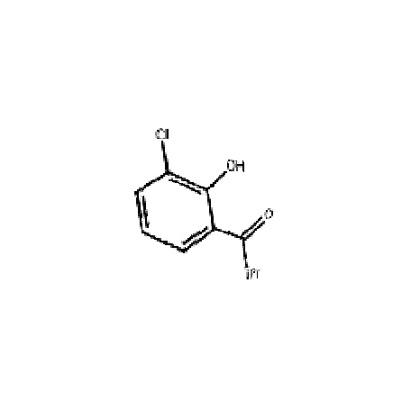 CC(C)C(=O)c1cccc(Cl)c1O